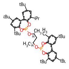 Cc1cc(C(C)(C)C)cc2c1op(O[C@H](C)C[C@@H](C)Op1oc3c(C(C)C)cc(C(C)(C)C)cc3c3cc(C(C)(C)C)cc(C(C)(C)C)c3o1)oc1c(C(C)(C)C)cc(C(C)(C)C)cc12